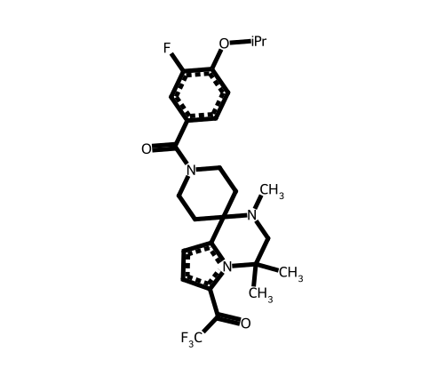 CC(C)Oc1ccc(C(=O)N2CCC3(CC2)c2ccc(C(=O)C(F)(F)F)n2C(C)(C)CN3C)cc1F